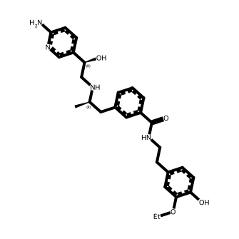 CCOc1cc(CCNC(=O)c2cccc(C[C@@H](C)NC[C@H](O)c3ccc(N)nc3)c2)ccc1O